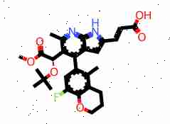 COC(=O)[C@@H](OC(C)(C)C)c1c(C)nc2[nH]c(/C=C/C(=O)O)cc2c1-c1cc(F)c2c(c1C)CCCO2